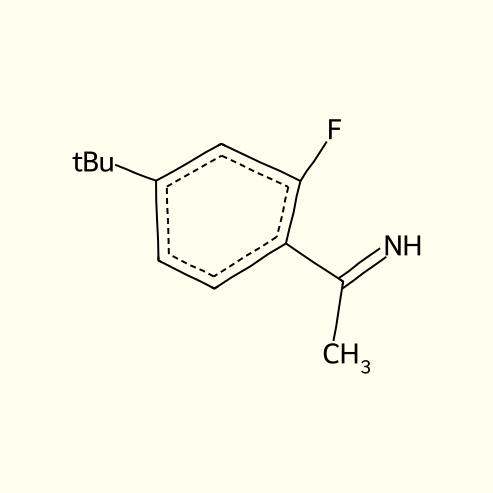 CC(=N)c1ccc(C(C)(C)C)cc1F